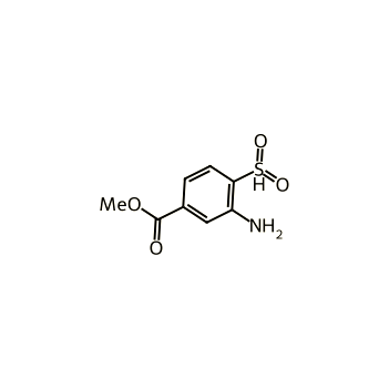 COC(=O)c1ccc([SH](=O)=O)c(N)c1